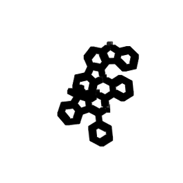 CC1(C)c2ccccc2-c2c(-c3ccccc3)nc(-c3ccccc3-n3c4ccccc4c4ccc5sc6ccccc6c5c43)nc21